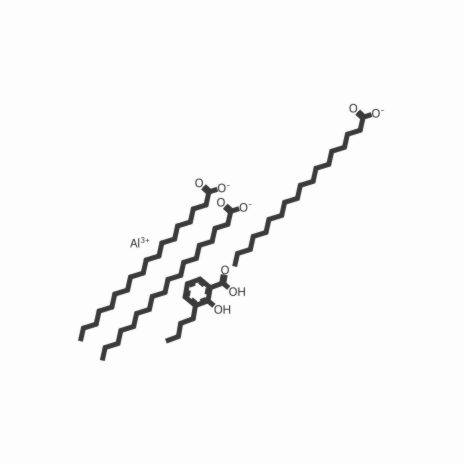 CCCCCCCCCCCCCCCCCC(=O)[O-].CCCCCCCCCCCCCCCCCC(=O)[O-].CCCCCCCCCCCCCCCCCC(=O)[O-].CCCCc1cccc(C(=O)O)c1O.[Al+3]